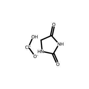 O=C1CNC(=O)N1.[O-][Cl+]O